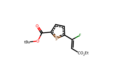 CCOC(=O)C=C(F)c1ccc(C(=O)OC(C)(C)C)s1